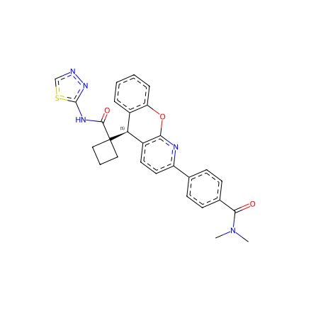 CN(C)C(=O)c1ccc(-c2ccc3c(n2)Oc2ccccc2[C@@H]3C2(C(=O)Nc3nncs3)CCC2)cc1